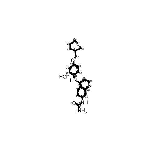 Cl.NC(=O)Nc1ccc2c(Nc3ccc(OCC4CCCCC4)cc3)ccnc2c1